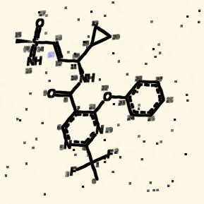 CC(F)(F)c1ncc(C(=O)N[C@@H](/C=C/[S@](C)(=N)=O)C2CC2)c(Oc2ccccc2)n1